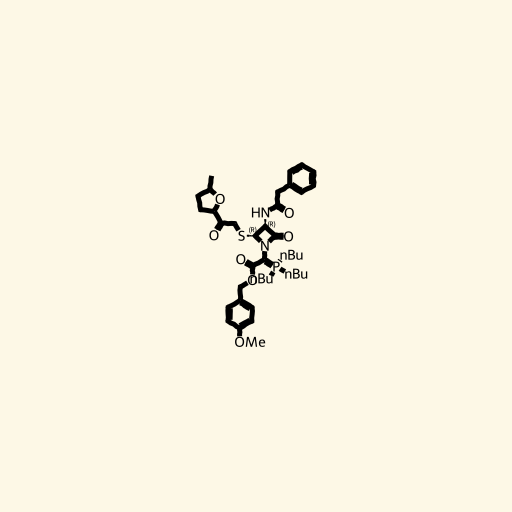 CCCCP(CCCC)(CCCC)=C(C(=O)OCc1ccc(OC)cc1)N1C(=O)[C@@H](NC(=O)Cc2ccccc2)[C@H]1SCC(=O)C1CCC(C)O1